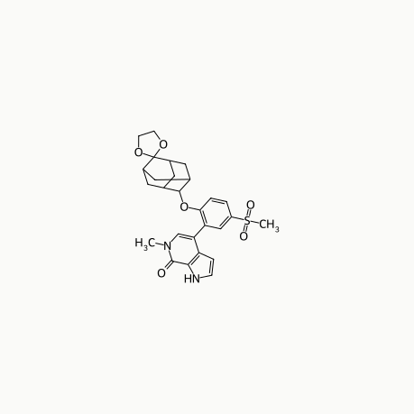 Cn1cc(-c2cc(S(C)(=O)=O)ccc2OC2C3CC4CC2CC(C3)C42OCCO2)c2cc[nH]c2c1=O